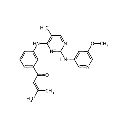 COc1cncc(Nc2ncc(C)c(Nc3cccc(C(=O)C=C(C)C)c3)n2)c1